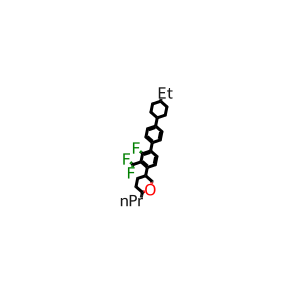 CCCC1CCC(c2ccc(-c3ccc(C4CCC(CC)CC4)cc3)c(F)c2C(F)F)CO1